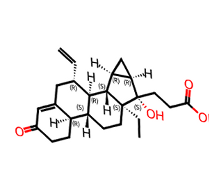 C=C[C@H]1CC2=CC(=O)CC[C@@H]2[C@H]2CC[C@@]3(CC)[C@@H]([C@H]4C[C@H]4[C@@]3(O)CCC(=O)O)[C@@H]21